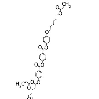 C=CC(=O)OCCCCCCOc1ccc(OC(=O)c2ccc(OC(=O)c3ccc(OC(CCCCC)OC(=O)C=C)cc3)cc2)cc1